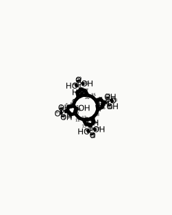 O=P(O)(O)c1cc2c(O)c(c1)Cc1cc(P(=O)(O)O)cc(c1O)Cc1cc(P(=O)(O)O)cc(c1O)Cc1cc(P(=O)(O)O)cc(c1O)C2